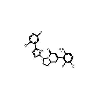 Nc1ccc(Cl)c(F)c1C1=CC(=O)N2C(CC[C@H]2c2ncc(-c3cc(F)ncc3Cl)[nH]2)C1